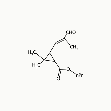 CCCOC(=O)C1C(C=C(C)C=O)C1(C)C